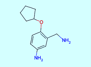 NCc1cc(N)ccc1OC1CCCC1